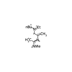 CCCCN(CC)CC(C)/N=C(\C)NC